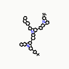 CC(C)(C)c1ccc(-c2ccc3c(c2)c2cc(-c4ccc5cc6c7cc(-c8ccc9cc%10c%11cccc%12c%13cc([Si](C)(C)C)ccc%13n(c%10cc9c8)c%12%11)cc8c9cc(-c%10ccc%11c(ccc%12ccccc%12%11)c%10)ccc9n(c6cc5c4)c87)cc4c5cc6ccccc6cc5n3c24)cc1